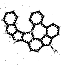 Cn1c2cccc3c4ccccc4n4c5c(ccc1c5c32)c1oc2sc3ccccc3c2c14